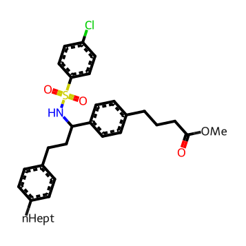 CCCCCCCc1ccc(CCC(NS(=O)(=O)c2ccc(Cl)cc2)c2ccc(CCCC(=O)OC)cc2)cc1